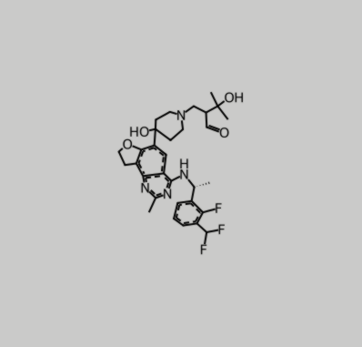 Cc1nc(N[C@H](C)c2cccc(C(F)F)c2F)c2cc(C3(O)CCN(CC(C=O)C(C)(C)O)CC3)c3c(c2n1)CCO3